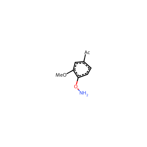 COc1cc(C(C)=O)ccc1ON